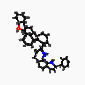 c1ccc(-c2ccc3ccc4ccc(-c5cccc6c5-c5cccc7c5c-6cc5c6ccccc6oc75)nc4c3n2)cc1